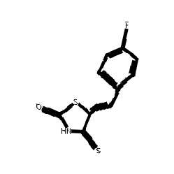 O=C1NC(=S)C(=Cc2ccc(F)cc2)S1